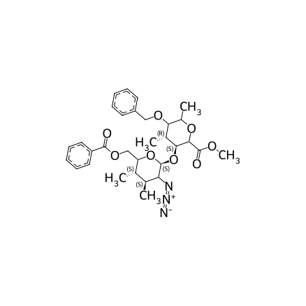 COC(=O)C1OC(C)C(OCc2ccccc2)[C@@H](C)[C@@H]1O[C@@H]1OC(COC(=O)c2ccccc2)[C@@H](C)[C@H](C)C1N=[N+]=[N-]